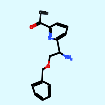 COC(=O)c1cccc(C(N)COCc2ccccc2)n1